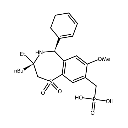 CCCC[C@]1(CC)CS(=O)(=O)c2cc(CP(=O)(O)O)c(OC)cc2[C@H](C2=CC=CCC2)N1